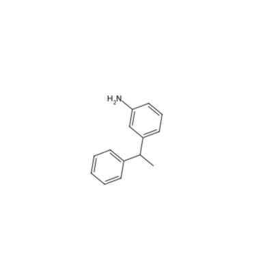 CC(c1ccccc1)c1cccc(N)c1